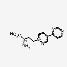 N[C@H](CC[n+]1ccc(-c2ccncn2)cn1)C(=O)O